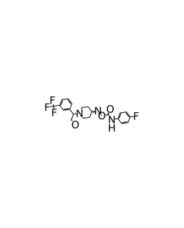 O=CC(c1cccc(C(F)(F)F)c1)N1CCC(=NOC(=O)Nc2ccc(F)cc2)CC1